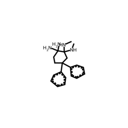 CNC1(NC)CC(c2ccccc2)(c2ccccc2)CCC1(N)N